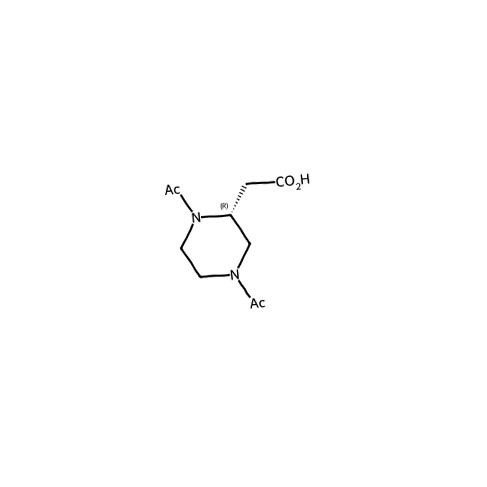 CC(=O)N1CCN(C(C)=O)[C@H](CC(=O)O)C1